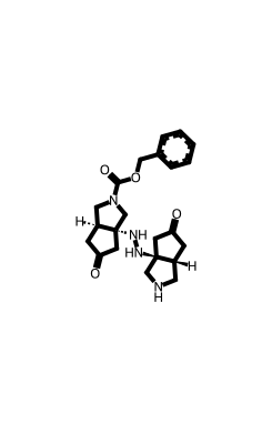 O=C1C[C@@H]2CNC[C@]2(NN[C@]23CC(=O)C[C@H]2CN(C(=O)OCc2ccccc2)C3)C1